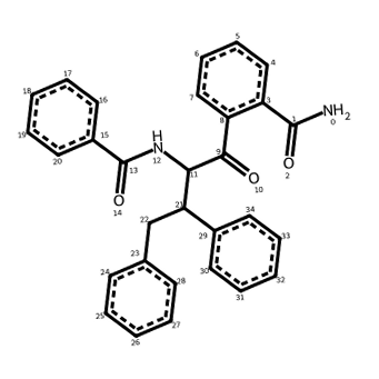 NC(=O)c1ccccc1C(=O)C(NC(=O)c1ccccc1)C(Cc1ccccc1)c1ccccc1